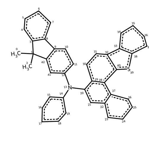 CC1(C)c2ccccc2-c2ccc(N(c3ccccc3)c3cc4ccccc4c4c3ccc3c5ccccc5sc34)cc21